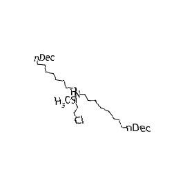 CCCCCCCCCCCCCCCCCCN(CCCCCCCCCCCCCCCCCC)[SiH](C)CCCl